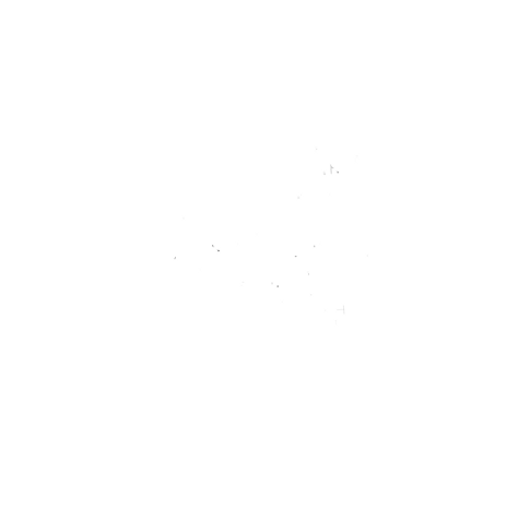 CCN(CC)c1ccc(C(C)(C(=O)O)c2ccc(N(C)C)cc2C)cc1